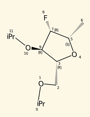 CC(C)OC[C@H]1O[C@@H](C)[C@@H](F)[C@@H]1OC(C)C